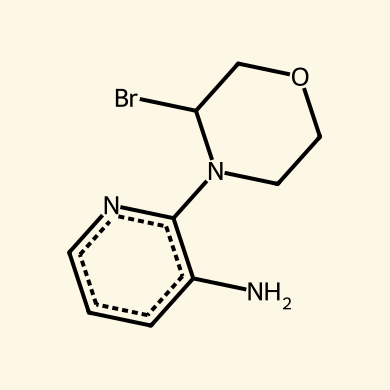 Nc1cccnc1N1CCOCC1Br